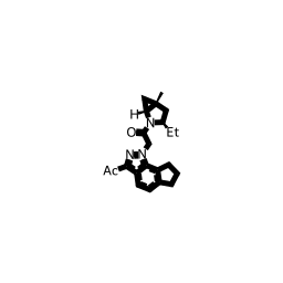 CC[C@@H]1C[C@@]2(C)C[C@H]2N1C(=O)Cn1nc(C(C)=O)c2ccc3c(c21)CCC3